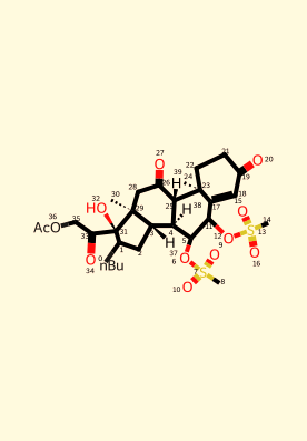 CCCCC1C[C@H]2[C@@H]3C(OS(C)(=O)=O)C(OS(C)(=O)=O)C4=CC(=O)CC[C@]4(C)[C@H]3C(=O)C[C@]2(C)[C@@]1(O)C(=O)COC(C)=O